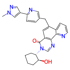 Cn1cc(-c2ccc(Cc3cc4c(=O)n([C@H]5CCCC[C@@H]5O)cnc4c4ncccc34)cn2)cn1